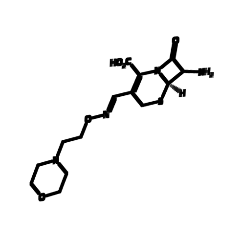 NC1C(=O)N2C(C(=O)O)=C(/C=N/OCCN3CCOCC3)CS[C@H]12